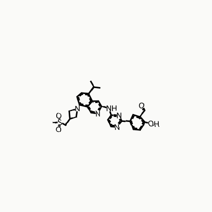 CC(C)c1ccc(N2CC(CS(C)(=O)=O)C2)c2cnc(Nc3ccnc(-c4ccc(O)c(C=O)c4)n3)cc12